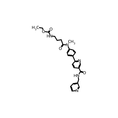 CCOC(=O)NCCCC(=O)N(C)c1ccc(-c2ccc(C(=O)NCc3cccnc3)cn2)cc1